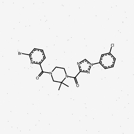 CC1(C)CN(C(=O)c2cccc(Br)n2)CCN1C(=O)c1ncn(-c2cccc(Cl)c2)n1